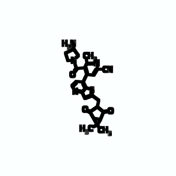 Cc1nc(C#N)cc(-c2ccnc3cc(CC4C(=O)C5C(C4=O)C5(C)C)sc23)c1C(=O)N1CC[C@@H](N)C1